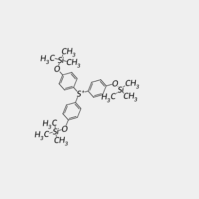 C[Si](C)(C)Oc1ccc([S+](c2ccc(O[Si](C)(C)C)cc2)c2ccc(O[Si](C)(C)C)cc2)cc1